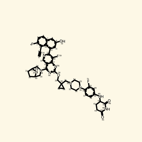 C#Cc1c(F)ccc2cc(O)cc(-c3ncc4c(N5CC6CCC(C5)N6)nc(OCC5(CN6CCN(c7ccc(NC8CCC(=O)NC8=O)cc7F)CC6)CC5)nc4c3F)c12